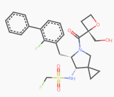 O=C(N1CC2(CC2)[C@H](NS(=O)(=O)CF)[C@@H]1Cc1cccc(-c2ccccc2)c1F)[C@]1(CO)CCO1